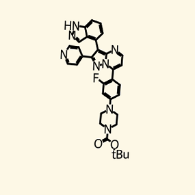 CC(C)(C)OC(=O)N1CCN(c2ccc(-c3ccnc4c(-c5cccc6[nH]ncc56)c(-c5ccncc5)nn34)c(F)c2)CC1